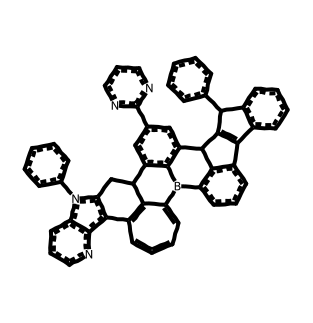 C1=CC=C2B3c4cccc5c4C(C4=C5c5ccccc5C4c4ccccc4)c4cc(-c5ncccn5)cc(c43)C3Cc4c(c5ncccc5n4-c4ccccc4)C(=C23)C=1